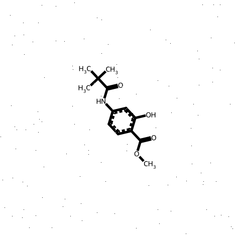 COC(=O)c1ccc(NC(=O)C(C)(C)C)cc1O